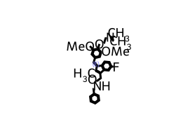 COc1cc(/C=C2/C(C)=C(CC(=O)NCc3ccccc3)c3cc(F)ccc32)cc(OC)c1OCCN(C)C